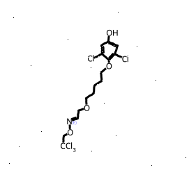 Oc1cc(Cl)c(OCCCCCOC/C=N/OCC(Cl)(Cl)Cl)c(Cl)c1